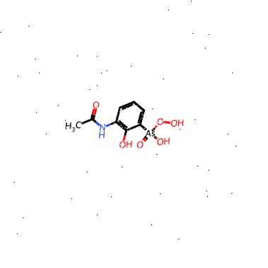 CC(=O)Nc1cccc([As](=O)(O)OO)c1O